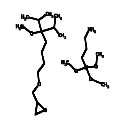 CC(C)C(CCCCOCC1CO1)(O[SiH3])C(C)C.CO[Si](CCCN)(OC)OC